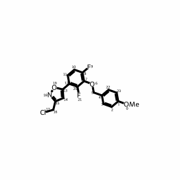 COc1ccc(COc2c(F)ccc(-c3cc(CCl)no3)c2F)cc1